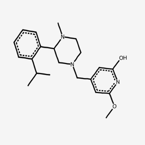 COc1cc(CN2CCN(C)C(c3ccccc3C(C)C)C2)cc(O)n1